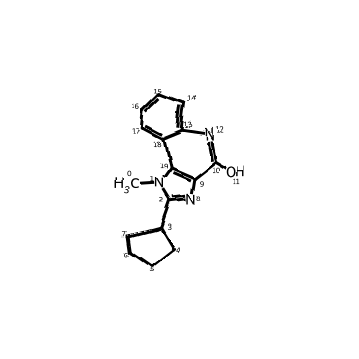 Cn1c(C2CCCC2)nc2c(O)nc3ccccc3c21